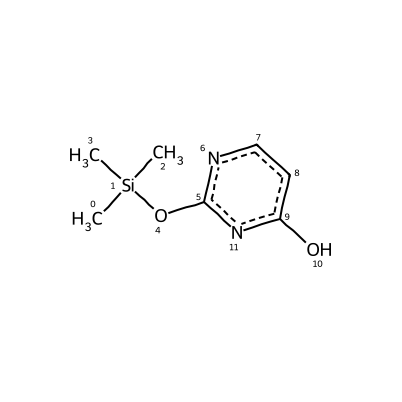 C[Si](C)(C)Oc1nccc(O)n1